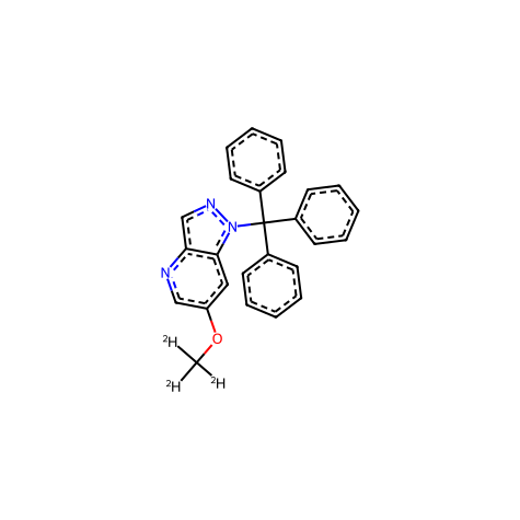 [2H]C([2H])([2H])Oc1cnc2cnn(C(c3ccccc3)(c3ccccc3)c3ccccc3)c2c1